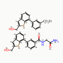 CCOC(=O)c1cccc(-c2cccc3cc(CO)sc23)c1.NC(=O)CNC(=O)c1cccc(-c2cccc3cc(CO)sc23)c1